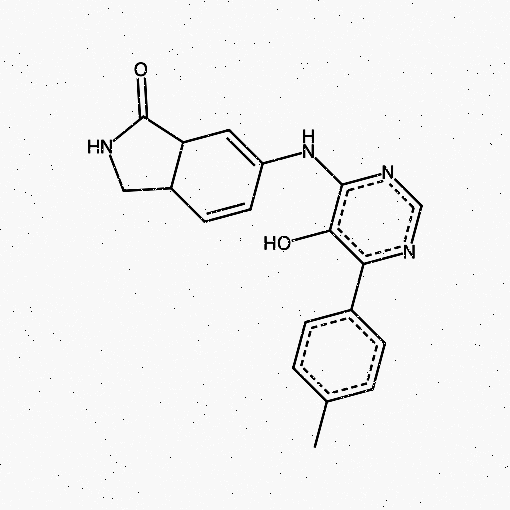 Cc1ccc(-c2ncnc(NC3=CC4C(=O)NCC4C=C3)c2O)cc1